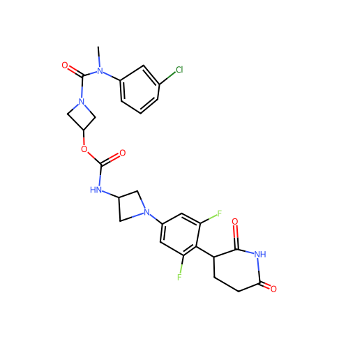 CN(C(=O)N1CC(OC(=O)NC2CN(c3cc(F)c(C4CCC(=O)NC4=O)c(F)c3)C2)C1)c1cccc(Cl)c1